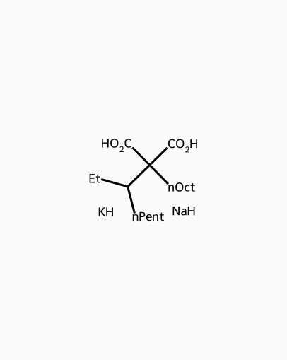 CCCCCCCCC(C(=O)O)(C(=O)O)C(CC)CCCCC.[KH].[NaH]